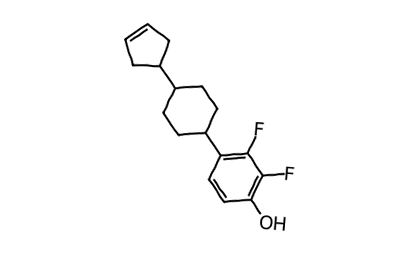 Oc1ccc(C2CCC(C3CC=CC3)CC2)c(F)c1F